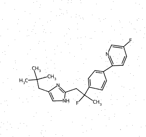 CC(C)(C)Cc1c[nH]c(CC(C)(F)c2ccc(-c3ccc(F)cn3)cc2)n1